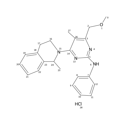 COCc1nc(Nc2ccccc2)nc(N2CCc3ccccc3C2C)c1C.Cl